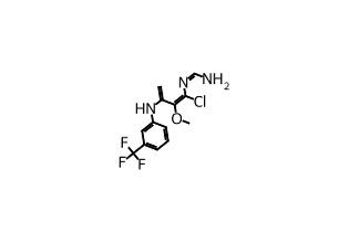 C=C(Nc1cccc(C(F)(F)F)c1)/C(OC)=C(Cl)\N=C/N